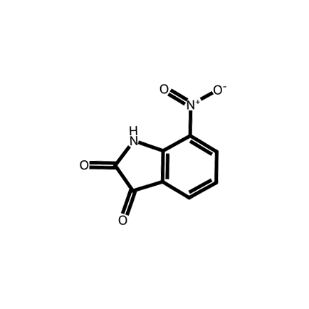 O=C1Nc2c(cccc2[N+](=O)[O-])C1=O